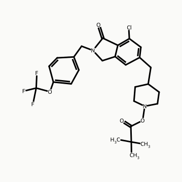 CC(C)(C)C(=O)ON1CCC(Cc2cc(Cl)c3c(c2)CN(Cc2ccc(OC(F)(F)F)cc2)C3=O)CC1